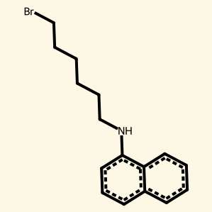 BrCCCCCCNc1cccc2ccccc12